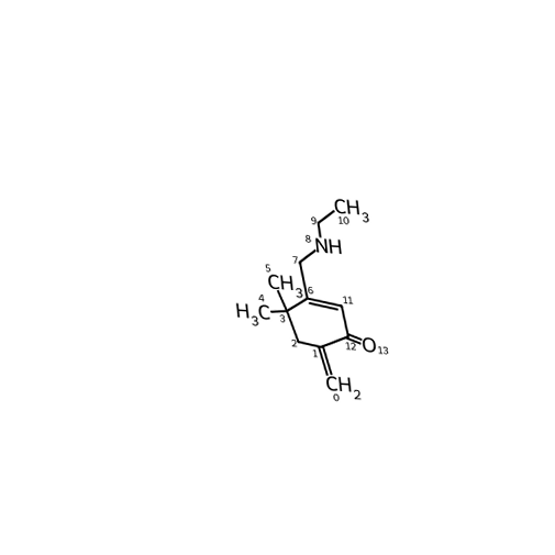 C=C1CC(C)(C)C(CNCC)=CC1=O